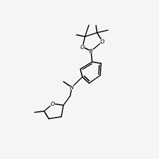 CC1CCC(CN(C)c2cccc(B3OC(C)(C)C(C)(C)O3)c2)O1